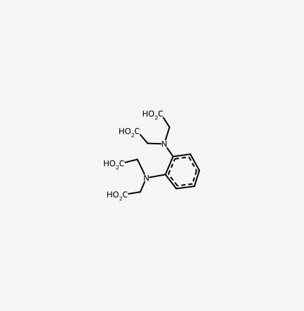 O=C(O)CN(CC(=O)O)c1ccccc1N(CC(=O)O)CC(=O)O